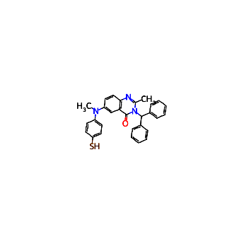 Cc1nc2ccc(N(C)c3ccc(S)cc3)cc2c(=O)n1C(c1ccccc1)c1ccccc1